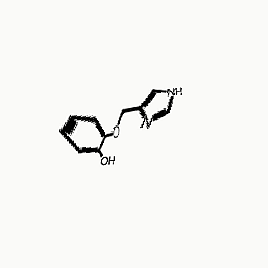 Oc1ccccc1OCc1c[nH]cn1